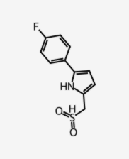 O=[SH](=O)Cc1ccc(-c2ccc(F)cc2)[nH]1